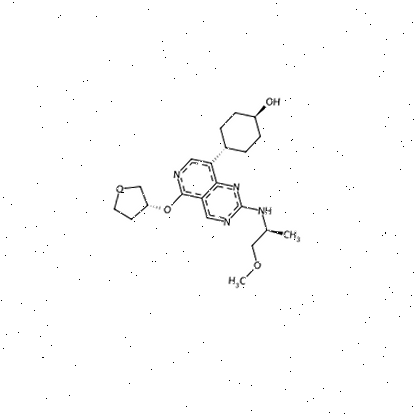 COC[C@H](C)Nc1ncc2c(O[C@@H]3CCOC3)ncc([C@H]3CC[C@H](O)CC3)c2n1